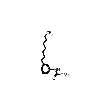 [CH2]OC(=O)Nc1cccc(CCCCCCCC(F)(F)F)c1